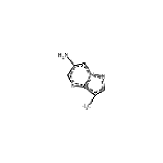 Cc1cnn2cc(N)cnc12